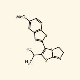 COc1ccc2sc(C3=C(C(C)O)SC4=NCCN43)cc2c1